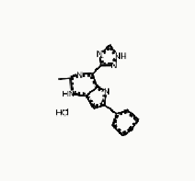 Cc1nc(-c2nc[nH]n2)c2nc(-c3ccccc3)cc-2[nH]1.Cl